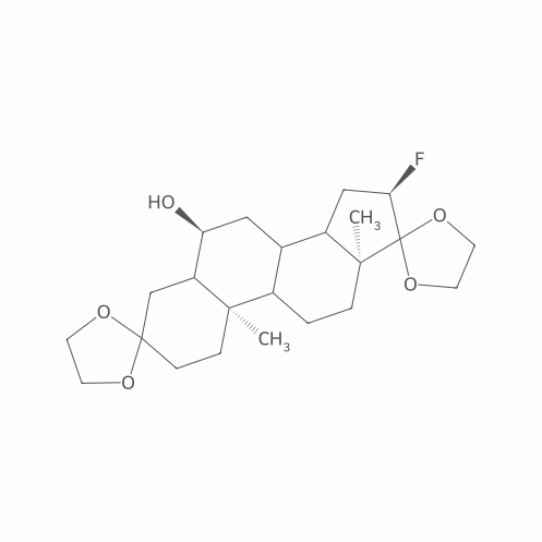 C[C@]12CCC3(CC1[C@@H](O)CC1C2CC[C@@]2(C)C1C[C@@H](F)C21OCCO1)OCCO3